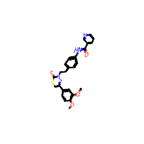 COc1ccc(C2=NN(CCc3ccc(NC(=O)c4cccnc4)cc3)C(=O)SC2)cc1OC